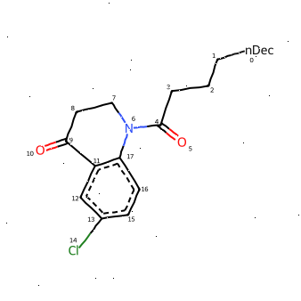 CCCCCCCCCCCCCC(=O)N1CCC(=O)c2cc(Cl)ccc21